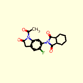 CC(=O)N1C(=O)Cc2cc(F)c(N3C(=O)C4CCCCC4C3=O)cc21